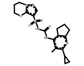 Cc1c(C2CC2)nc2c(c1NC(=O)NS(=O)(=O)c1cnn3c1OCCC3)CCC2